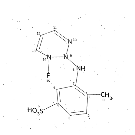 Cc1ccc(S(=O)(=O)O)cc1NN1N=[C]C=CN1F